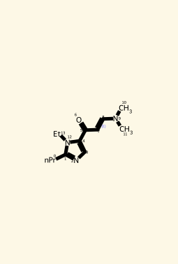 CCCc1ncc(C(=O)/C=C/N(C)C)n1CC